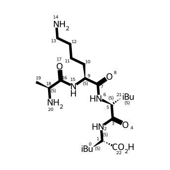 CC[C@H](C)[C@H](NC(=O)[C@@H](NC(=O)[C@H](CCCCN)NC(=O)[C@H](C)N)[C@@H](C)CC)C(=O)O